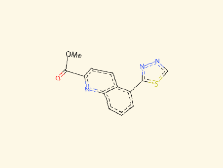 COC(=O)c1ccc2c(-c3nncs3)cccc2n1